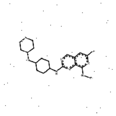 CC(C)Nc1nc(C(C)C)cc2cnc(NC3CCC(NC4CCOCC4)CC3)nc12